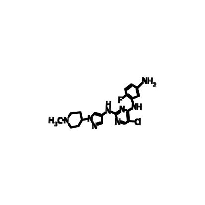 CN1CCC(n2cc(Nc3ncc(Cl)c(Nc4cc(N)ccc4F)n3)cn2)CC1